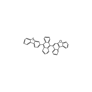 c1ccc2c(c1)oc1cc(-c3c4ccccc4c(-c4ccc5c(c4)sc4ccccc45)c4ccccc34)c3ccccc3c12